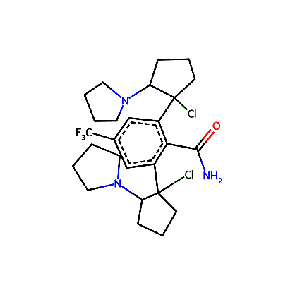 NC(=O)c1c(C2(Cl)CCCC2N2CCCC2)cc(C(F)(F)F)cc1C1(Cl)CCCC1N1CCCC1